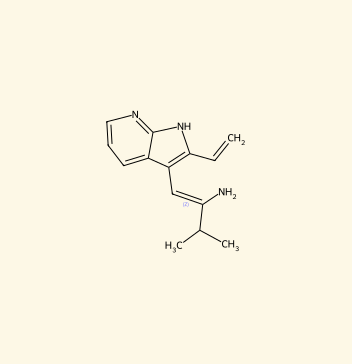 C=Cc1[nH]c2ncccc2c1/C=C(\N)C(C)C